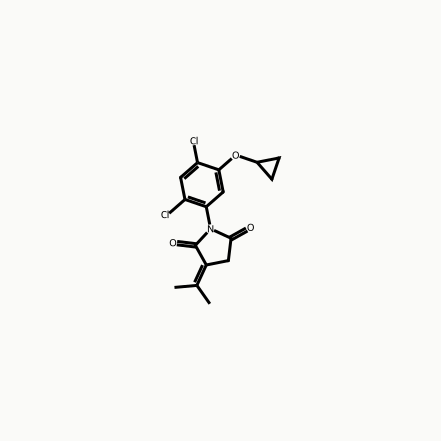 CC(C)=C1CC(=O)N(c2cc(OC3CC3)c(Cl)cc2Cl)C1=O